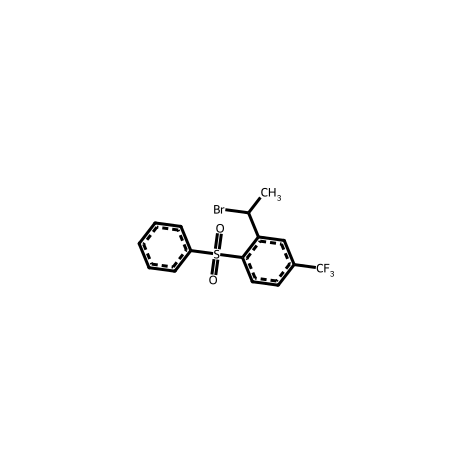 CC(Br)c1cc(C(F)(F)F)ccc1S(=O)(=O)c1ccccc1